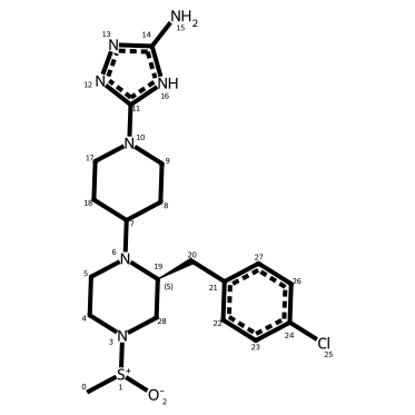 C[S+]([O-])N1CCN(C2CCN(c3nnc(N)[nH]3)CC2)[C@@H](Cc2ccc(Cl)cc2)C1